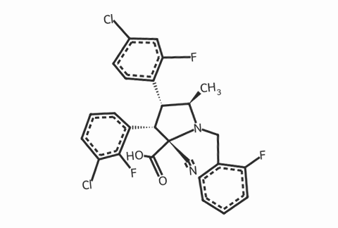 C[C@@H]1[C@@H](c2ccc(Cl)cc2F)[C@@H](c2cccc(Cl)c2F)[C@@](C#N)(C(=O)O)N1Cc1ccccc1F